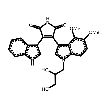 COc1ccc2c(c(C3=C(c4c[nH]c5ccccc45)C(=O)NC3=O)cn2CC(O)CO)c1OC